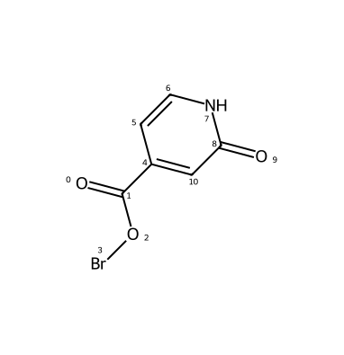 O=C(OBr)c1cc[nH]c(=O)c1